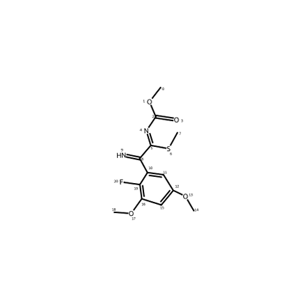 COC(=O)N=C(SC)C(=N)c1cc(OC)cc(OC)c1F